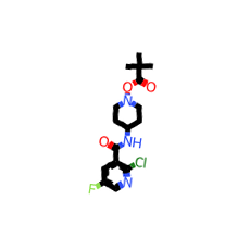 CC(C)(C)C(=O)ON1CCC(NC(=O)c2cc(F)cnc2Cl)CC1